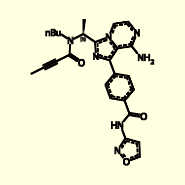 CC#CC(=O)N(CCCC)[C@@H](C)c1nc(-c2ccc(C(=O)Nc3ccon3)cc2)c2c(N)nccn12